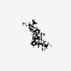 CC(C)C[C@@H](NC(=O)c1ccccc1O[C@H](F)C(=O)NC1(C)CC1)C(=O)N1CCC[C@@H]1C(=O)N1CCN(C)[C@@H](C2CC2)C1